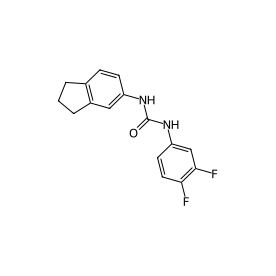 O=C(Nc1ccc(F)c(F)c1)Nc1ccc2c(c1)CCC2